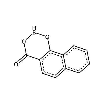 O=C1OBOc2c1ccc1ccccc21